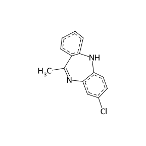 CC1=Nc2cc(Cl)ccc2Nc2ccccc21